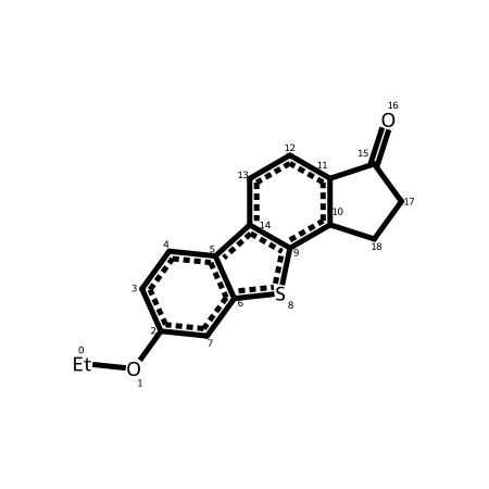 CCOc1ccc2c(c1)sc1c3c(ccc12)C(=O)CC3